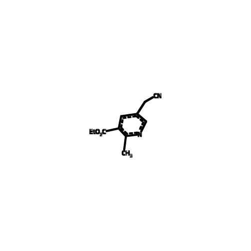 CCOC(=O)c1cc(CC#N)cnc1C